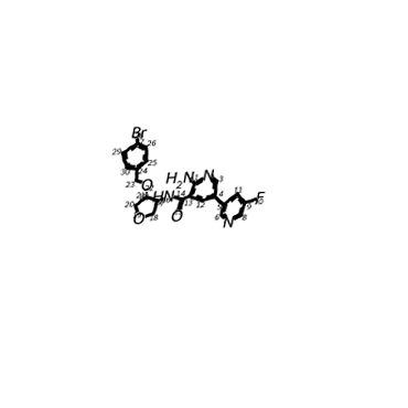 Nc1ncc(-c2cncc(F)c2)cc1C(=O)N[C@H]1COC[C@@H]1OCc1ccc(Br)cc1